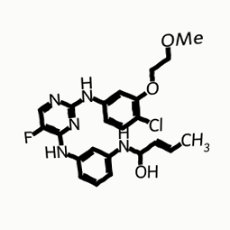 C/C=C/C(O)Nc1cccc(Nc2nc(Nc3ccc(Cl)c(OCCOC)c3)ncc2F)c1